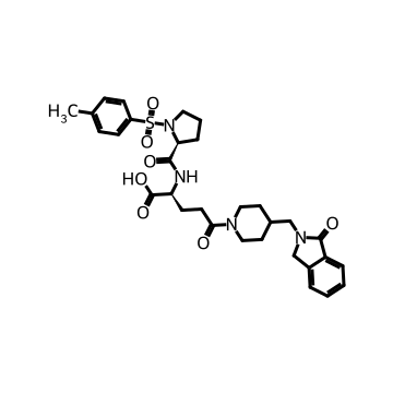 Cc1ccc(S(=O)(=O)N2CCC[C@H]2C(=O)N[C@@H](CCC(=O)N2CCC(CN3Cc4ccccc4C3=O)CC2)C(=O)O)cc1